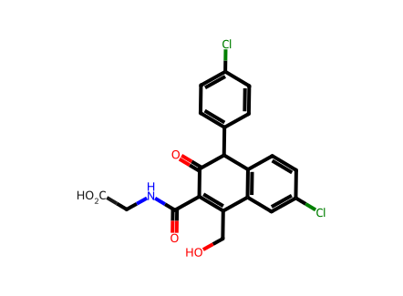 O=C(O)CNC(=O)C1=C(CO)c2cc(Cl)ccc2C(c2ccc(Cl)cc2)C1=O